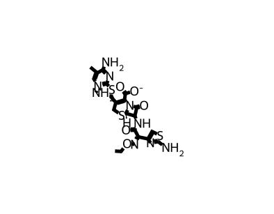 CCO/N=C(\C(=O)NC1C(=O)N2C(C(=O)[O-])=C(CSc3nc(N)c(C)c[n+]3N)CS[C@H]12)c1csc(N)n1